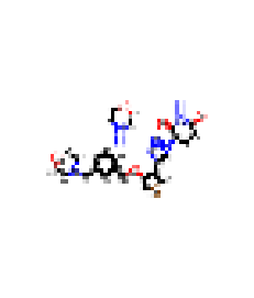 C1COCCN1.O=C1CCC(n2cc(-c3cscc3OCc3cccc(CN4CCOCC4)c3)nn2)C(=O)N1